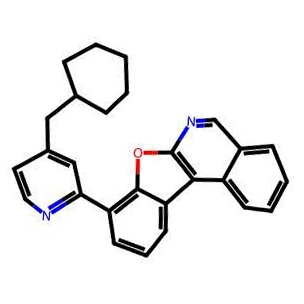 c1ccc2c(c1)cnc1oc3c(-c4cc(CC5CCCCC5)ccn4)cccc3c12